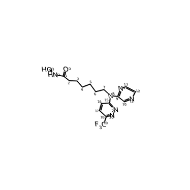 O=C(CCCCCCN(c1cnccn1)c1ccc(C(F)(F)F)nn1)NO